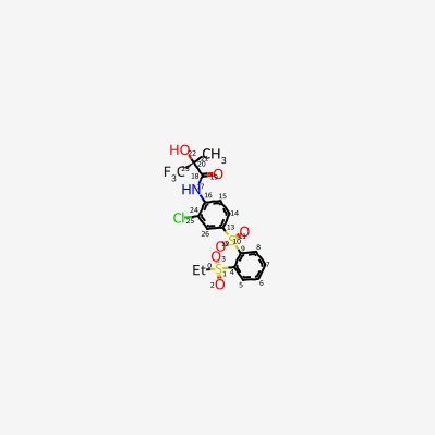 CCS(=O)(=O)c1ccccc1S(=O)(=O)c1ccc(NC(=O)[C@@](C)(O)C(F)(F)F)c(Cl)c1